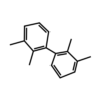 Cc1cc[c]c(-c2[c]ccc(C)c2C)c1C